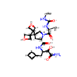 CC(C)(C)NC(=O)N[C@H](C(=O)N1CC2(C[C@H]1C(=O)NC(CC1CCC1)C(=O)C(N)=O)C1(COC1)C21COC1)C(C)(C)C